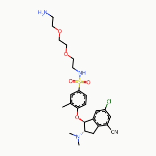 Cc1cc(S(=O)(=O)NCCOCCOCCN)ccc1O[C@H]1c2cc(Cl)cc(C#N)c2C[C@@H]1N(C)C